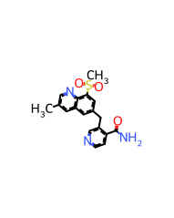 Cc1cnc2c(S(C)(=O)=O)cc(Cc3cnccc3C(N)=O)cc2c1